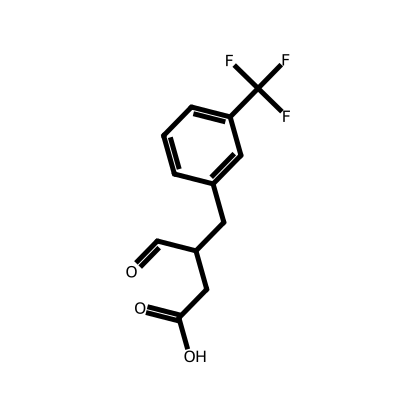 O=CC(CC(=O)O)Cc1cccc(C(F)(F)F)c1